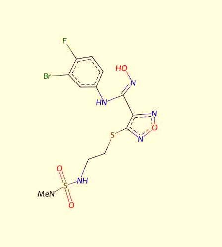 CNS(=O)(=O)NCCSc1nonc1/C(=N/O)Nc1ccc(F)c(Br)c1